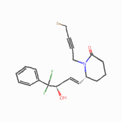 O=C1CCC[C@H](/C=C/[C@@H](O)C(F)(F)c2ccccc2)N1CC#CC[S]